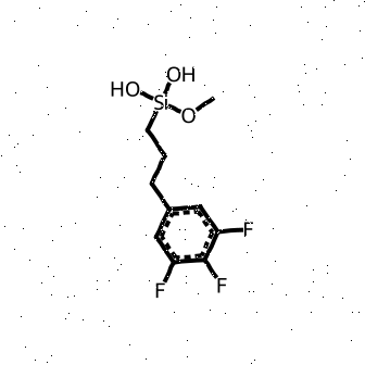 CO[Si](O)(O)CCCc1cc(F)c(F)c(F)c1